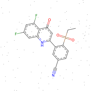 CCS(=O)(=O)c1ccc(C#N)cc1-c1cc(=O)c2c(F)cc(F)cc2[nH]1